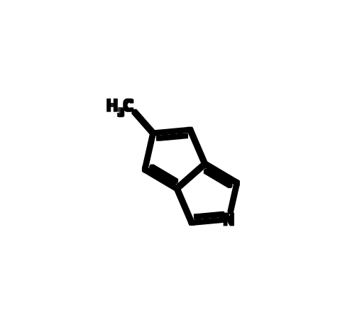 CC1=CC2=CN=CC2=C1